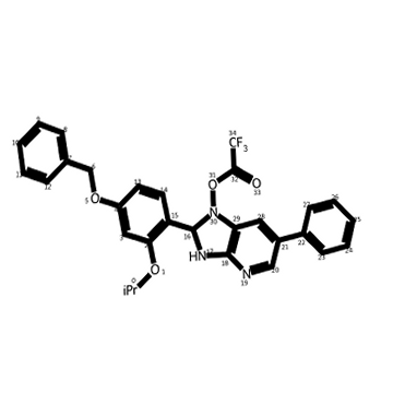 CC(C)Oc1cc(OCc2ccccc2)ccc1C1Nc2ncc(-c3ccccc3)cc2N1OC(=O)C(F)(F)F